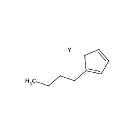 CCCCC1=CC=CC1.[Y]